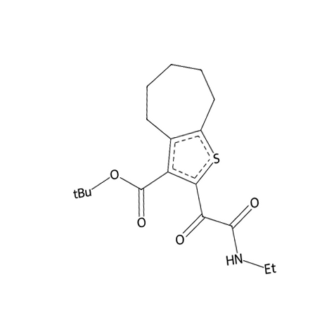 CCNC(=O)C(=O)c1sc2c(c1C(=O)OC(C)(C)C)CCCCC2